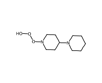 OOON1CCC(N2CCCCC2)CC1